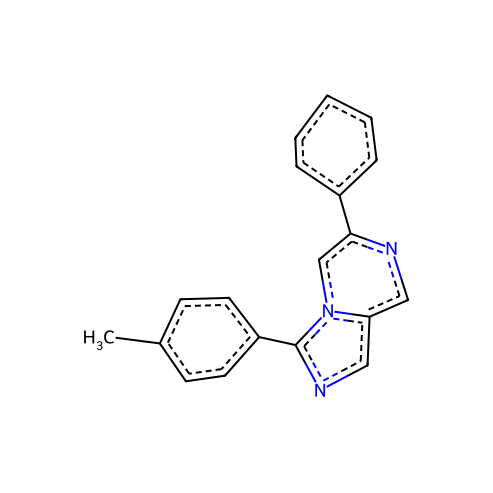 Cc1ccc(-c2ncc3cnc(-c4ccccc4)cn23)cc1